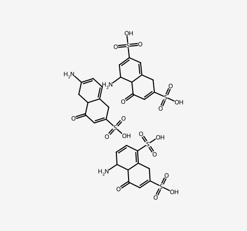 NC1=CC=C2CC(S(=O)(=O)O)=CC(=O)C2C1.NC1C=C(S(=O)(=O)O)C=C2CC(S(=O)(=O)O)=CC(=O)C21.NC1C=CC(S(=O)(=O)O)=C2CC(S(=O)(=O)O)=CC(=O)C21